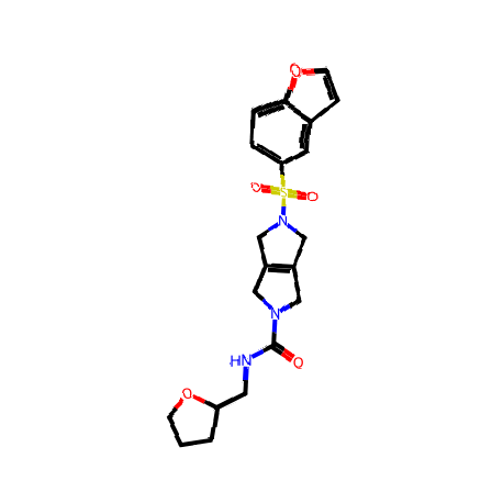 O=C(NCC1CCCO1)N1CC2=C(C1)CN(S(=O)(=O)c1ccc3occc3c1)C2